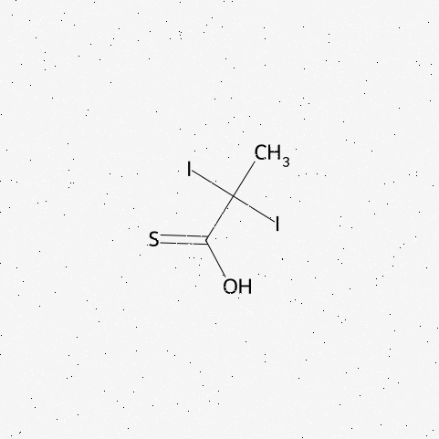 CC(I)(I)C(O)=S